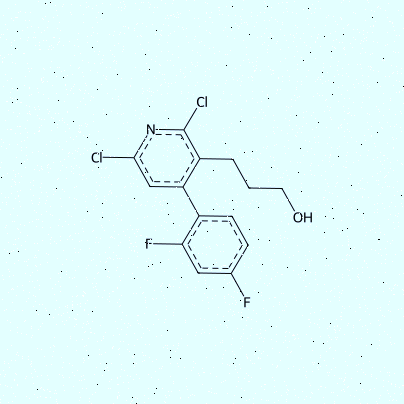 OCCCc1c(-c2ccc(F)cc2F)cc(Cl)nc1Cl